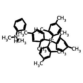 C[NH+](C)c1ccccc1.Cc1ccc([B-](c2ccc(C)cc2C)(c2ccc(C)cc2C)c2ccc(C)cc2C)c(C)c1